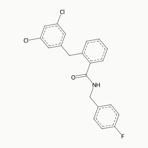 O=C(NCc1ccc(F)cc1)c1ccccc1Cc1cc(Cl)cc(Cl)c1